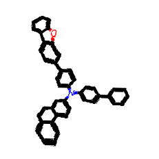 c1ccc(-c2ccc(N(c3ccc(-c4ccc5c(c4)oc4ccccc45)cc3)c3ccc4c(ccc5ccccc54)c3)cc2)cc1